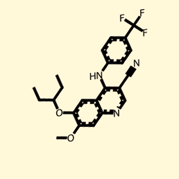 CCC(CC)Oc1cc2c(Nc3ccc(C(F)(F)F)cc3)c(C#N)cnc2cc1OC